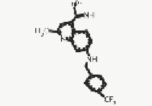 CCCC(=N)c1cc(C)nc2cc(NCc3ccc(C(F)(F)F)cc3)ccc12